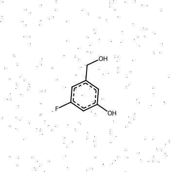 O[CH]c1cc(O)cc(F)c1